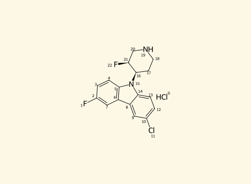 Cl.Fc1ccc2c(c1)c1cc(Cl)ccc1n2[C@@H]1CCNC[C@@H]1F